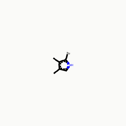 Cc1c[nH][c]([Ru])c1C